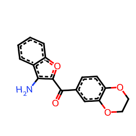 Nc1c(C(=O)c2ccc3c(c2)OCCO3)oc2ccccc12